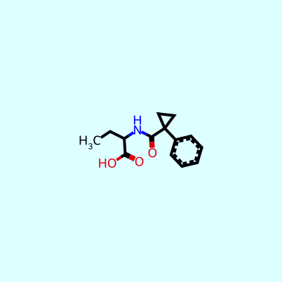 CCC(NC(=O)C1(c2ccccc2)CC1)C(=O)O